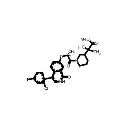 COC(=O)C(C)(C)C1CCCN(C(=O)[C@@H](C)Oc2ccc3c(-c4ccc(F)cc4Cl)c[nH]c(=O)c3c2)C1